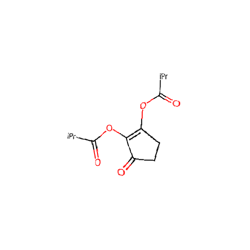 CC(C)C(=O)OC1=C(OC(=O)C(C)C)C(=O)CC1